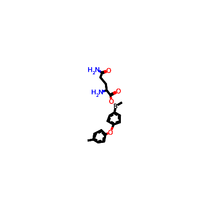 CB(OC(=O)C(N)CCC(N)=O)c1ccc(Oc2ccc(C)cc2)cc1